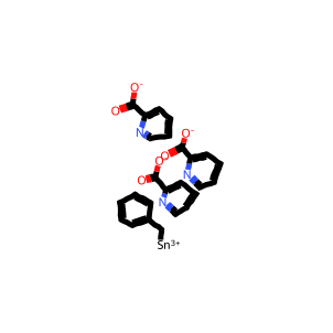 O=C([O-])c1ccccn1.O=C([O-])c1ccccn1.O=C([O-])c1ccccn1.[Sn+3][CH2]c1ccccc1